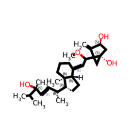 C=C1[C@@H](O)C[C@@]2(O)CC12C(/C=C1\CCC[C@]2(C)[C@@H]([C@H](C)/C=C/[C@@](C)(O)C(C)C)CC[C@@H]12)OC